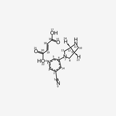 N#Cc1cncc(N2C[C@H]3CN[C@H]3C2)c1.O=C(O)C=CC(=O)O